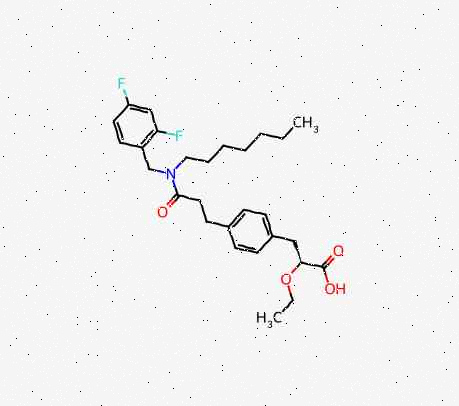 CCCCCCCN(Cc1ccc(F)cc1F)C(=O)CCc1ccc(C[C@H](OCC)C(=O)O)cc1